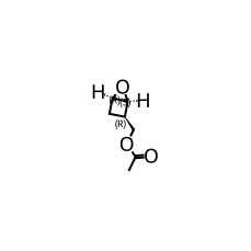 CC(=O)OC[C@H]1C[C@H]2O[C@@H]12